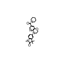 CN1C(=O)C(C)(C)c2cc(N3CCOc4cc(C(=O)N5CCCCC5)cnc43)ccc21